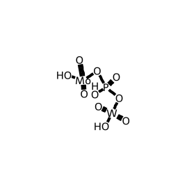 O=P(O)([O][Mo](=[O])(=[O])[OH])[O][W](=[O])(=[O])[OH]